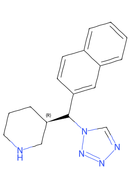 c1ccc2cc(C([C@@H]3CCCNC3)n3cnnn3)ccc2c1